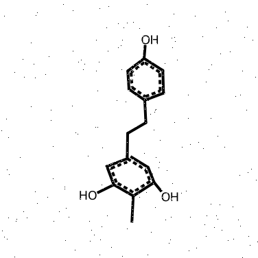 Cc1c(O)cc(CCc2ccc(O)cc2)cc1O